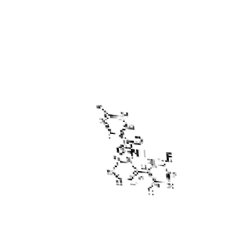 Cc1ccc(S(=O)(=O)Nc2ccccc2-c2cc(F)ccc2C)cc1